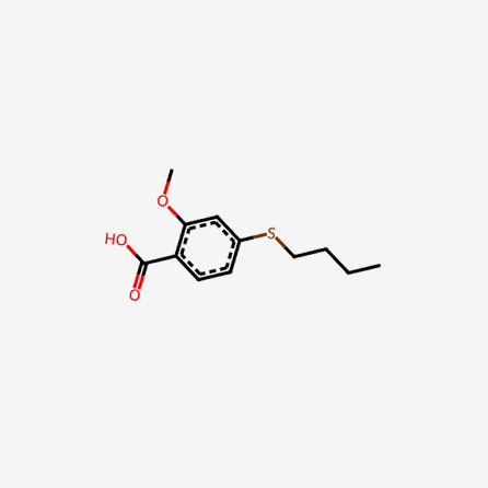 CCCCSc1ccc(C(=O)O)c(OC)c1